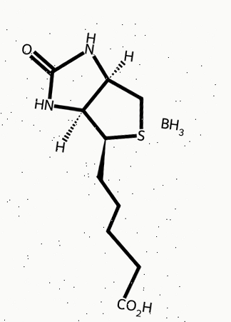 B.O=C(O)CCCC[C@@H]1SC[C@@H]2NC(=O)N[C@@H]21